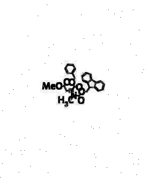 COC(=O)C[C@@H](C(=O)OCc1ccccc1)N(C)C(=O)OCC1c2ccccc2-c2ccccc21